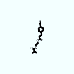 C=C(C)C(=O)OCCOC(=O)/C=C/c1ccc(C#N)cc1